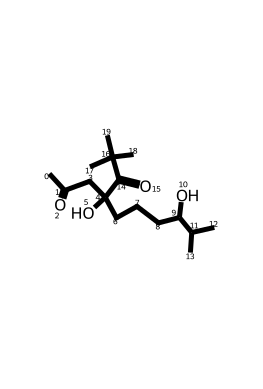 CC(=O)CC(O)(CCCC(O)C(C)C)C(=O)C(C)(C)C